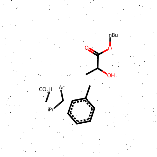 CC(=O)CC(C)C.CC(=O)O.CCCCOC(=O)C(C)O.Cc1ccccc1